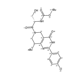 CCCCC1CN(C(=O)[C@H](CO)NC(=O)OC(C)(C)C)Cc2c1nc(-c1ccc(Cl)cc1)[nH]c2=O